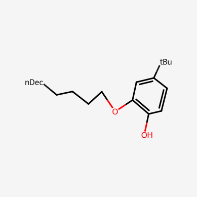 CCCCCCCCCCCCCCOc1cc(C(C)(C)C)ccc1O